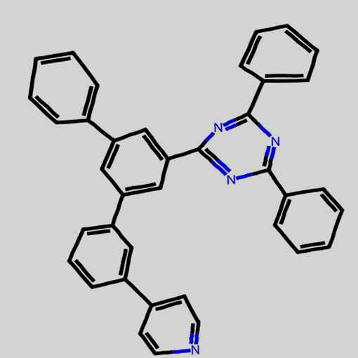 c1ccc(-c2cc(-c3cccc(-c4ccncc4)c3)cc(-c3nc(-c4ccccc4)nc(-c4ccccc4)n3)c2)cc1